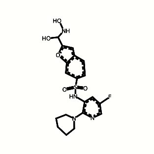 O=S(=O)(Nc1cc(F)cnc1N1CCCCC1)c1ccc2cc(C(O)NO)oc2c1